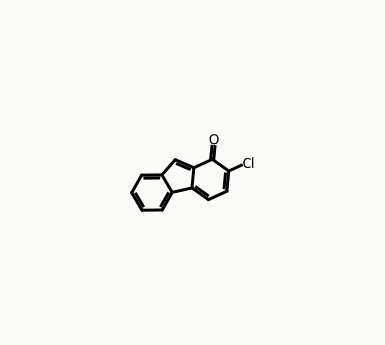 O=C1C(Cl)=CC=C2C1=Cc1ccccc12